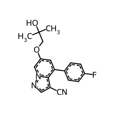 CC(C)(O)COc1cc(-c2ccc(F)cc2)c2c(C#N)cnn2c1